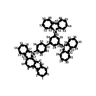 c1ccc2c(c1)sc1c2ccc2c3ccccc3n(-c3ccc(-c4cc(-n5c6ccccc6c6ccccc65)cc(-n5c6ccccc6c6ccccc65)c4)cc3)c21